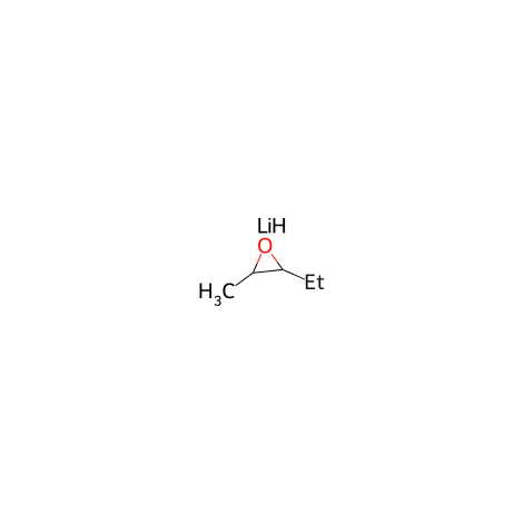 CCC1OC1C.[LiH]